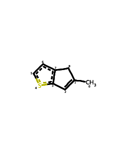 CC1=Cc2sccc2C1